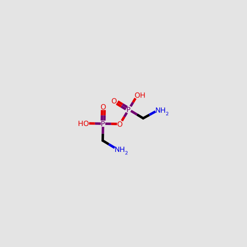 NCP(=O)(O)OP(=O)(O)CN